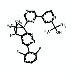 CC(C)(O)c1cc(-c2cncc([C@@]34CC[C@@H](c5cc(-c6c(F)cccc6F)nnc53)C4(C)C)n2)ccn1